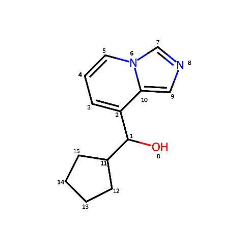 OC(c1cccn2cncc12)C1CCCC1